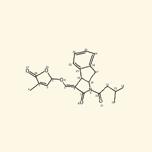 CC1=CC(O/C=C2/C(=O)N(C(=O)CC(C)C)C3Cc4ccccc4C23)OC1=O